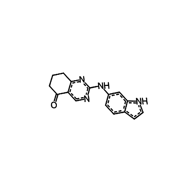 O=C1CCCc2nc(Nc3ccc4cc[nH]c4c3)ncc21